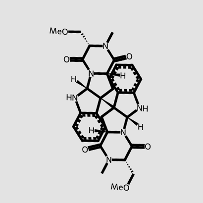 COC[C@H]1C(=O)N2[C@H]3Nc4ccccc4C3([C@]34C[C@H]5C(=O)N(C)[C@@H](COC)C(=O)N5[C@H]3Nc3ccccc34)C[C@H]2C(=O)N1C